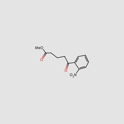 COC(=O)CCCC(=O)c1ccccc1[N+](=O)[O-]